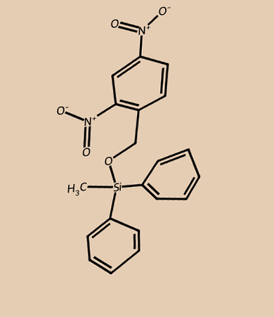 C[Si](OCc1ccc([N+](=O)[O-])cc1[N+](=O)[O-])(c1ccccc1)c1ccccc1